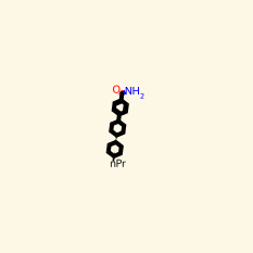 CCC[C@H]1CC[C@H](C2CCC(c3ccc(C(N)=O)cc3)CC2)CC1